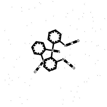 O=C=Nc1ccccc1P(=S)(c1ccccc1N=C=O)c1ccccc1N=C=O